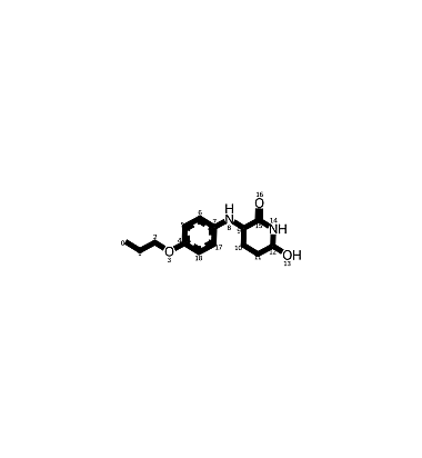 CCCOc1ccc(NC2CCC(O)NC2=O)cc1